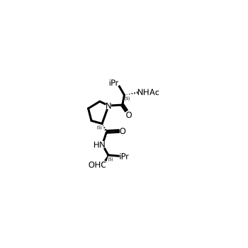 CC(=O)N[C@H](C(=O)N1CCC[C@H]1C(=O)N[C@H](C=O)C(C)C)C(C)C